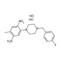 Cc1cc([N+](=O)[O-])c(N2CCN(Cc3ccc(F)cc3)CC2)cc1N.Cl.Cl